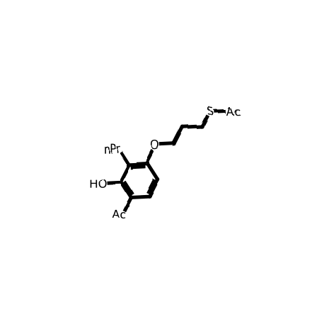 CCCc1c(OCCCSC(C)=O)ccc(C(C)=O)c1O